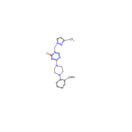 COc1ccccc1N1CCN(c2ncn(Cn3ccc(C(F)(F)F)n3)c(=O)n2)CC1